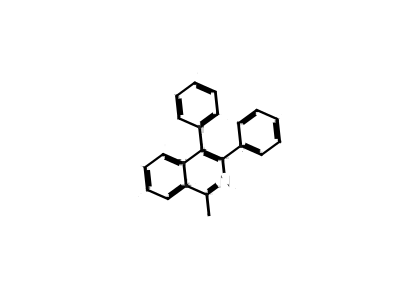 Cc1nc(-c2ccccc2)c(-c2ccccc2)c2ccccc12